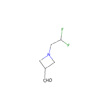 O=CC1CN(CC(F)F)C1